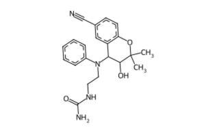 CC1(C)Oc2ccc(C#N)cc2C(N(CCNC(N)=O)c2ccccc2)C1O